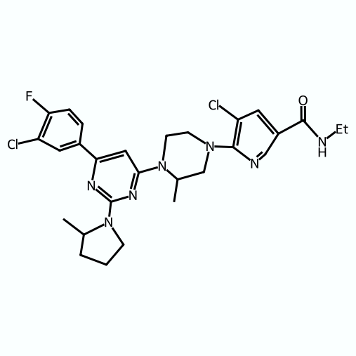 CCNC(=O)c1cnc(N2CCN(c3cc(-c4ccc(F)c(Cl)c4)nc(N4CCCC4C)n3)C(C)C2)c(Cl)c1